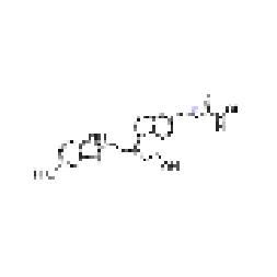 Cc1ccc2[nH]c(CCN(CCO)C3CCc4cc(/C=C/C(=O)NO)ccc43)nc2c1